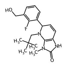 Cn1c2c([nH]c1=O)C=CC(c1cccc(CO)c1F)N2CC(C)(C)C